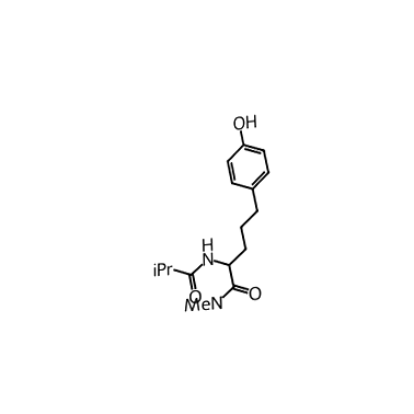 CNC(=O)C(CCCc1ccc(O)cc1)NC(=O)C(C)C